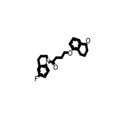 O=C1CCCc2c(OCCCC(=O)N3CCCc4cc(F)ccc43)cccc21